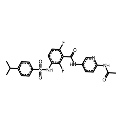 CC(=O)Nc1ccc(NC(=O)c2c(F)ccc(NS(=O)(=O)c3ccc(C(C)C)cc3)c2F)cn1